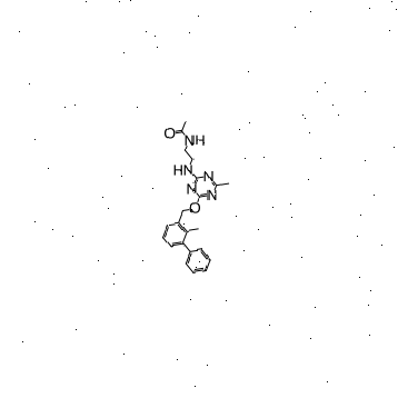 CC(=O)NCCNc1nc(C)nc(OCc2cccc(-c3ccccc3)c2C)n1